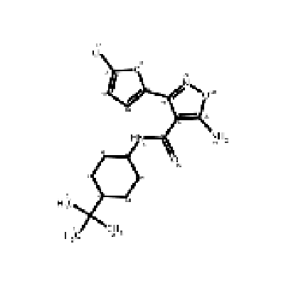 CC(C)(C)C1CCC(NC(=O)c2c(-c3ccc(Cl)o3)noc2N)CC1